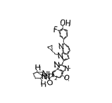 COc1cc(C(=O)N2C[C@H]3CC[C@@H]2[C@@H]3N)cc2nc(-c3cc4ccc(-c5ccc(O)c(F)c5)nc4n3CC3CC3)n(C)c12